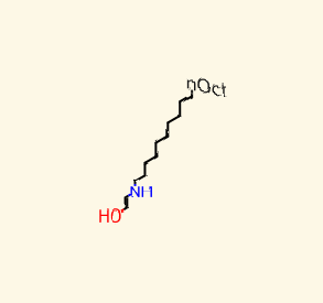 CCCCCCCCCCCCCCCCCCNC=CO